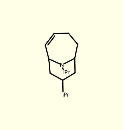 CC(C)C1CC2C=CCCC(C1)N2C(C)C